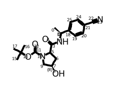 C[C@H](NC(=O)C1C[C@@H](O)CN1C(=O)OC(C)(C)C)c1ccc(C#N)cc1